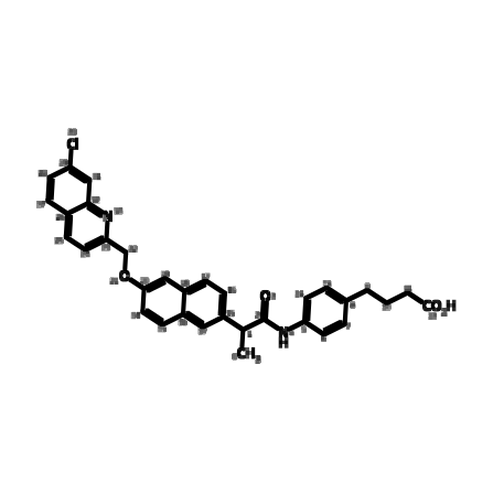 CC(C(=O)Nc1ccc(CCCC(=O)O)cc1)c1ccc2cc(OCc3ccc4ccc(Cl)cc4n3)ccc2c1